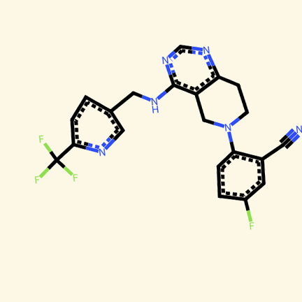 N#Cc1cc(F)ccc1N1CCc2ncnc(NCc3ccc(C(F)(F)F)nc3)c2C1